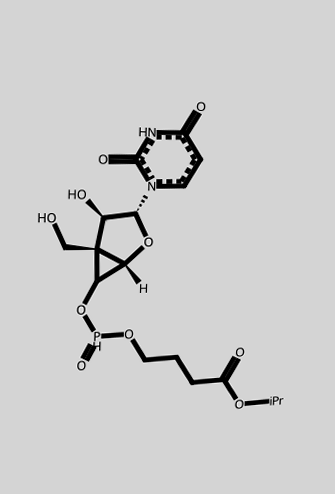 CC(C)OC(=O)CCCO[PH](=O)OC1[C@H]2O[C@@H](n3ccc(=O)[nH]c3=O)[C@H](O)[C@@]12CO